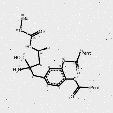 CCCCCC(=O)Oc1ccc(CC(N)(C[C@H](C)OC(=O)OCCCC)C(=O)O)cc1OC(=O)CCCCC